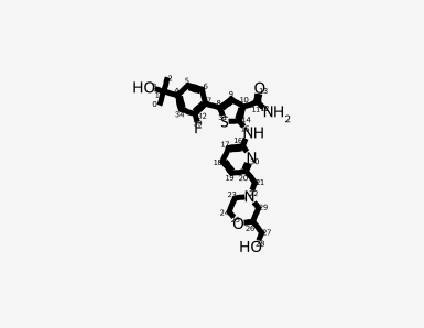 CC(C)(O)c1ccc(-c2cc(C(N)=O)c(Nc3cccc(CN4CCOC(CO)C4)n3)s2)c(F)c1